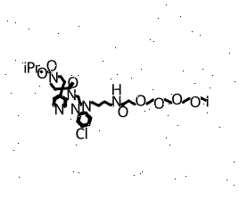 CC(C)OC(=O)N1CCC2(CC1)C(=O)N(Cc1nc3cc(Cl)ccc3n1CCCCNC(=O)CCOCCOCCOCCOCI)c1cnccc12